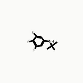 CC(C)(C)Nc1cc(F)c(F)c(F)c1